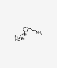 CCC(O)(CC)CNc1cccc(CCCN)c1